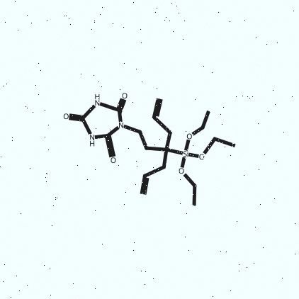 C=CCC(CC=C)(CCn1c(=O)[nH]c(=O)[nH]c1=O)[Si](OCC)(OCC)OCC